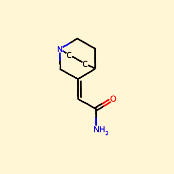 NC(=O)C=C1CN2CCC1CC2